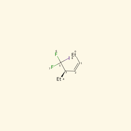 CC/C=C\[C@@H](CC)C(F)(F)I